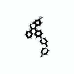 CN1CCN(CC2CCN(c3ccc(C4c5ccc(O)cc5OCC4c4ccccc4)cc3F)CC2)CC1